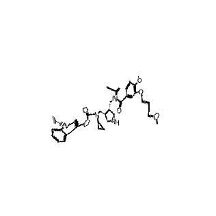 COCCCOc1cc(C(=O)N(C[C@@H]2CNC[C@H]2CN(C(=O)Oc2c[nH]c3ccccc23)C2CC2)C(C)C)ccc1OC